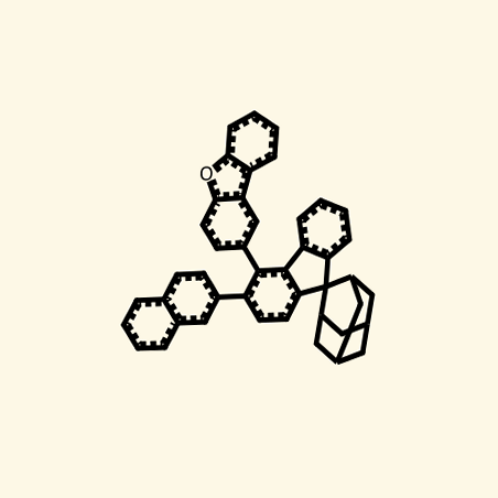 c1ccc2c(c1)-c1c(ccc(-c3ccc4ccccc4c3)c1-c1ccc3oc4ccccc4c3c1)C21C2CC3CC(C2)CC1C3